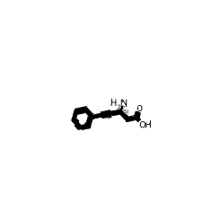 N[C@H](C#Cc1ccccc1)CC(=O)O